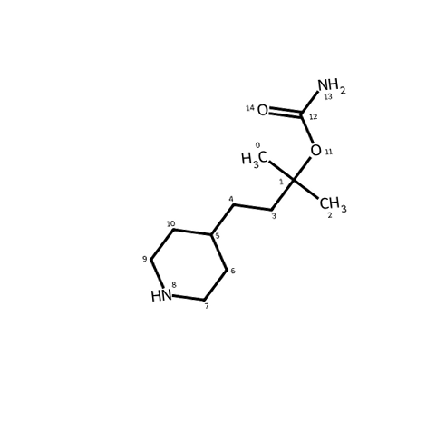 CC(C)(CCC1CCNCC1)OC(N)=O